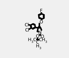 CC(C)(C)OC(=O)N1CC2C(COc3ccc(F)cc3)C2(c2ccc(Cl)c(Cl)c2)C1